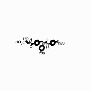 CCCCSc1ccc(NC(=O)N(Cc2ccc(C(=O)NC[C@@H](O)C(=O)O)cc2)C2CCC(C(C)(C)C)CC2)cc1